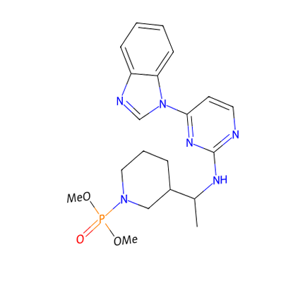 COP(=O)(OC)N1CCCC(C(C)Nc2nccc(-n3cnc4ccccc43)n2)C1